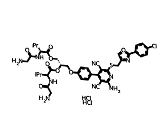 CC(C)C(NC(=O)CN)C(=O)O[C@H](COC(=O)[C@@H](NC(=O)CN)C(C)C)COc1ccc(-c2c(C#N)c(N)nc(SCc3coc(-c4ccc(Cl)cc4)n3)c2C#N)cc1.Cl.Cl